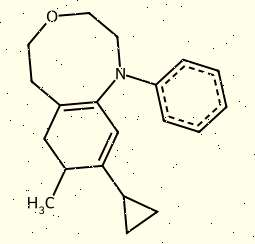 CC1CC2=C(C=C1C1CC1)N(c1ccccc1)CCOCC2